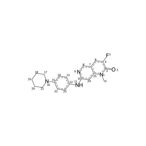 Cn1c(=O)c(F)cc2cnc(Nc3ccc(N4CCCCC4)cc3)cc21